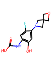 O=C(O)Nc1cc(F)c(N2CC3(COC3)C2)cc1O